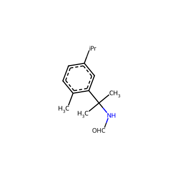 Cc1ccc(C(C)C)cc1C(C)(C)NC=O